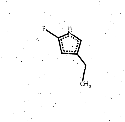 CCc1c[nH]c(F)c1